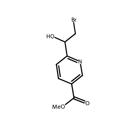 COC(=O)c1ccc(C(O)CBr)nc1